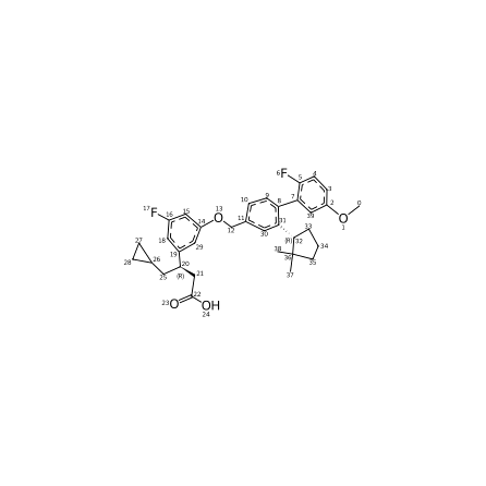 COc1ccc(F)c(-c2ccc(COc3cc(F)cc([C@@H](CC(=O)O)CC4CC4)c3)cc2[C@@H]2CCCC2(C)C)c1